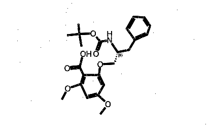 COc1cc(OC)c(C(=O)O)c(OC[C@@H](Cc2ccccc2)NC(=O)OC(C)(C)C)c1